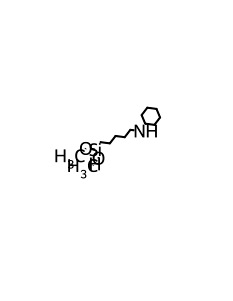 CO[SiH](CCCCCNC1CCCCC1)OC